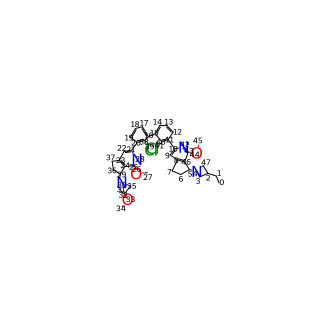 CCC1CN(C2CCc3cc(-c4cccc(-c5cccc(-c6cc7c(c(OC)n6)C(N6CC(OC)C6)CC7)c5Cl)c4Cl)nc(OC)c32)C1